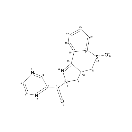 O=C(c1cnccn1)N1CC2C[S+]([O-])c3ccccc3C2=N1